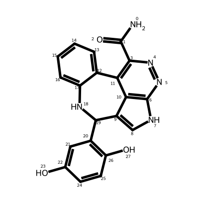 NC(=O)c1nnc2[nH]cc3c2c1-c1ccccc1NC3c1cc(O)ccc1O